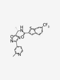 Cc1cc(-c2noc([C@H](C)NC(=O)c3cc4ccc(C(F)(F)F)cc4s3)n2)ccn1